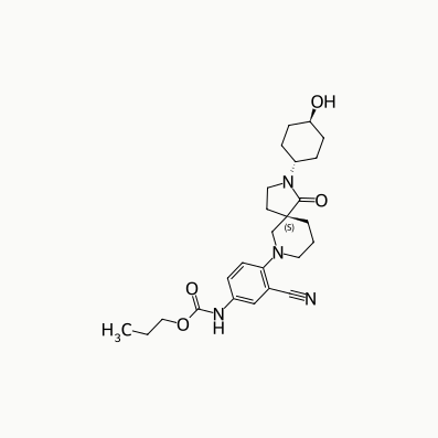 CCCOC(=O)Nc1ccc(N2CCC[C@]3(CCN([C@H]4CC[C@H](O)CC4)C3=O)C2)c(C#N)c1